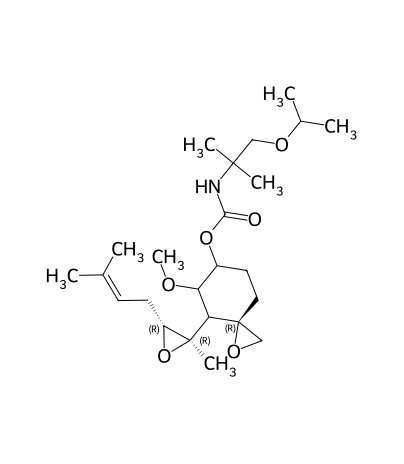 COC1C(OC(=O)NC(C)(C)COC(C)C)CC[C@]2(CO2)C1[C@@]1(C)O[C@@H]1CC=C(C)C